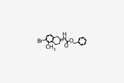 Cc1c(Br)ccc2c1CC[C@H](NC(=O)OCc1ccccc1)C2